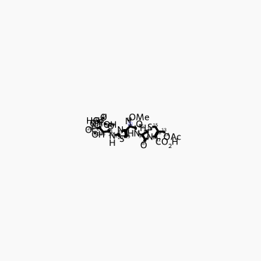 CO/N=C(\C(=O)N[C@@H]1C(=O)N2C(C(=O)O)=C(COC(C)=O)CS[C@@H]12)c1csc(NC(=O)CC(P(=O)(O)O)P(=O)(O)O)n1